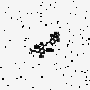 COc1cc(O)c(CC=C(C)C)c(O)c1C(=O)C=Cc1ccc(Cl)c(S(N)(=O)=O)c1